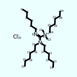 CCCCCCN=C(N(CCCCCC)CCCCCC)[N+](C)(C)CCCCCC.[Cl-]